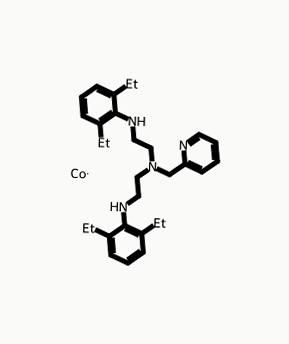 CCc1cccc(CC)c1NCCN(CCNc1c(CC)cccc1CC)Cc1ccccn1.[Co]